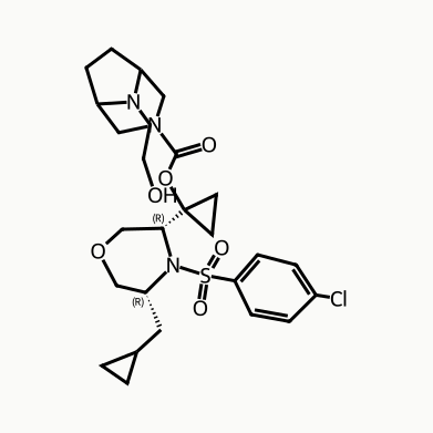 O=C(OC1([C@H]2COC[C@@H](CC3CC3)N2S(=O)(=O)c2ccc(Cl)cc2)CC1)N1CC2CCC(C1)N2CCO